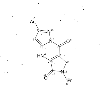 CC(=O)c1cc2[nH]c3c(c(=O)n2n1)CN(C(C)C)C3=O